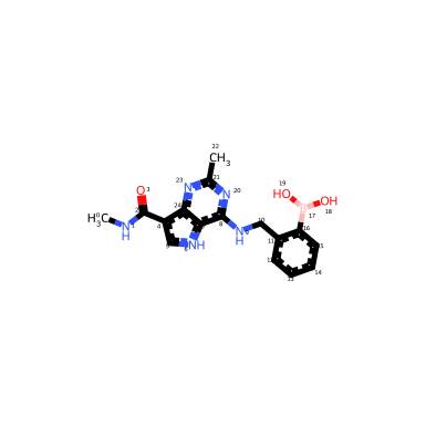 CNC(=O)c1c[nH]c2c(NCc3ccccc3B(O)O)nc(C)nc12